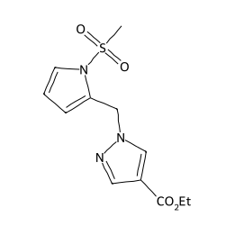 CCOC(=O)c1cnn(Cc2cccn2S(C)(=O)=O)c1